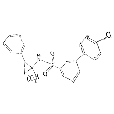 O=C(O)C1(NS(=O)(=O)c2cccc(-c3ccc(Cl)nn3)c2)CC1c1ccccc1